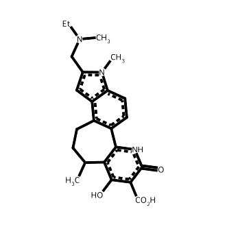 CCN(C)Cc1cc2c3c(ccc2n1C)-c1[nH]c(=O)c(C(=O)O)c(O)c1C(C)CC3